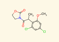 COc1cc(Cl)cc(Cl)c1C(C)C(=O)N1CCOC1=O